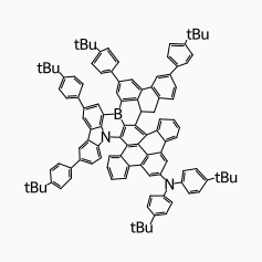 CC(C)(C)c1ccc(-c2ccc3c(c2)-c2cc(-c4ccc(C(C)(C)C)cc4)cc4c2C(C3)c2c3c(c5c6ccccc6c6cc(N(c7ccc(C(C)(C)C)cc7)c7ccc(C(C)(C)C)cc7)cc7c8ccccc8c2c5c76)-n2c5ccc(-c6ccc(C(C)(C)C)cc6)cc5c5cc(-c6ccc(C(C)(C)C)cc6)cc(c52)B43)cc1